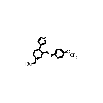 CCC(C)CN1CCC(c2ccsc2)C(COc2ccc(OC(F)(F)F)cc2)C1